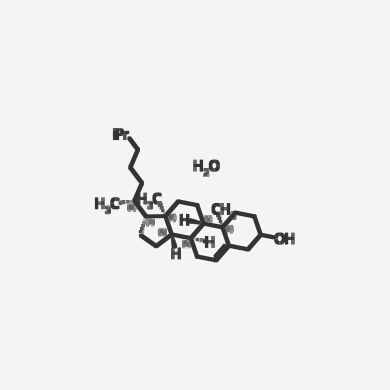 CC(C)CCC[C@@H](C)[C@H]1CC[C@H]2[C@@H]3CC=C4CC(O)CC[C@]4(C)[C@H]3CC[C@]12C.O